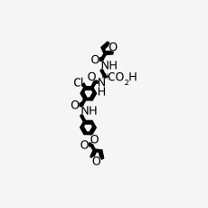 O=C(NCc1ccc(OC(=O)c2ccoc2)cc1)c1ccc(C(=O)N[C@@H](CNC(=O)c2ccoc2)C(=O)O)c(Cl)c1